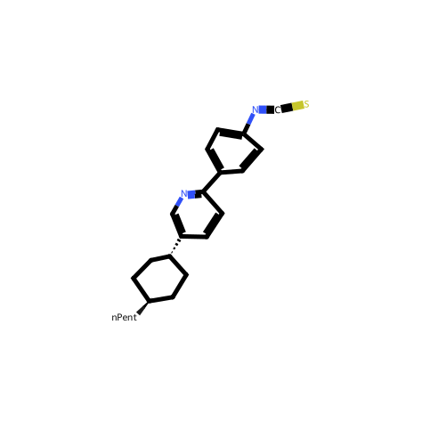 CCCCC[C@H]1CC[C@H](c2ccc(-c3ccc(N=C=S)cc3)nc2)CC1